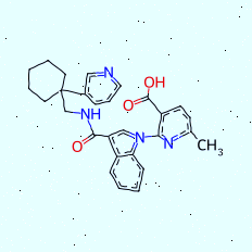 Cc1ccc(C(=O)O)c(-n2cc(C(=O)NCC3(c4cccnc4)CCCCC3)c3ccccc32)n1